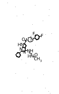 CC(=O)NCCNc1nc(-c2ccccc2)nc2[nH]c(C(=O)N3CCN(c4ccc(F)cc4F)CC3)cc12